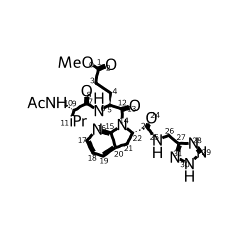 COC(=O)CC[C@H](NC(=O)[C@@H](NC(C)=O)C(C)C)C(=O)N1c2ncccc2C[C@H]1C(=O)NCc1nn[nH]n1